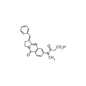 CN(C(=O)CC(=O)O)c1ccc2c(=O)n3c(nc2c1)C(=Cc1ccccc1)CC3